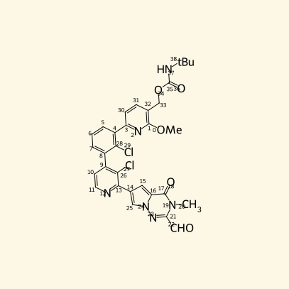 COc1nc(-c2cccc(-c3ccnc(-c4cc5c(=O)n(C)c(C=O)nn5c4)c3Cl)c2Cl)ccc1COC(=O)NC(C)(C)C